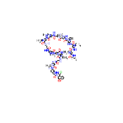 CC(=O)Nc1cc(C(=O)Nc2cc(C(=O)Nc3cc(C(=O)Nc4cc(C(=O)NCCC(=O)Nc5cc(C(=O)Nc6cc(C(=O)NCCCC(=O)Nc7cc(C(=O)Nc8cc(C(=O)Nc9cc(C(=O)NCCC(=O)Nc%10cc(C(=O)Nc%11ccc%12cc(C(=O)N%13CC(CCl)c%14c%13cc(O)c%13ccccc%14%13)[nH]c%12c%11)n(C)c%10)n(C)c9)n(C)c8)n(C)c7)n(C)c6)n(C)c5)n(C)c4)n(C)c3)n(C)c2)n(C)c1